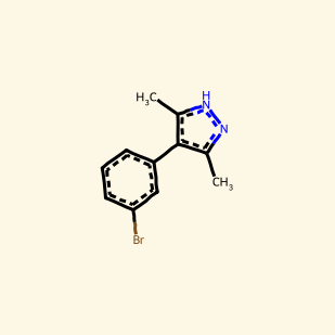 Cc1n[nH]c(C)c1-c1cccc(Br)c1